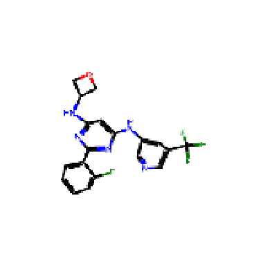 Fc1ccccc1-c1nc(Nc2cncc(C(F)(F)F)c2)cc(NC2COC2)n1